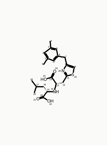 Cc1cc(C)cc(Cc2csc(C[C@H](N[C@@H](CC(C)C)C(=O)O)C(=O)O)n2)c1